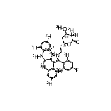 [2H]O[C@@H]1C[C@@H](CCn2c(-c3c([2H])cc(F)cc3[2H])c(-c3c([2H])cc([2H])cc3[2H])c(C(=O)N([2H])c3c([2H])cc([2H])cc3[2H])c2C(C)C)OC(=O)C1([2H])[2H]